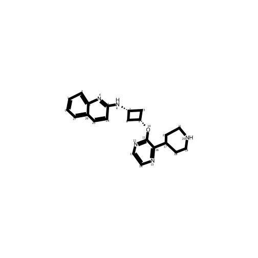 c1ccc2nc(N[C@H]3C[C@@H](Oc4nccnc4C4CCNCC4)C3)ccc2c1